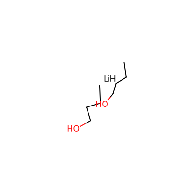 CCCCO.CCCCO.[LiH]